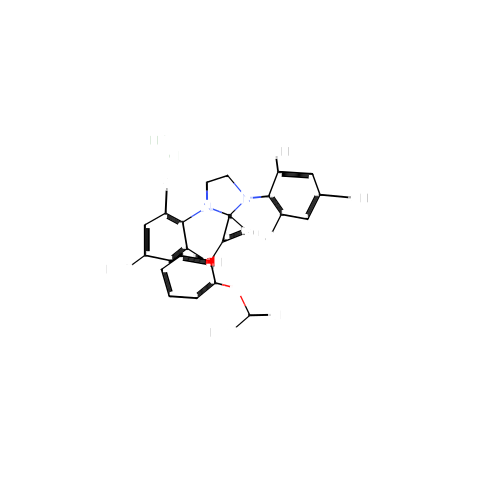 Cc1cc(C)c(N2CCN(c3c(C)cc(C)cc3C)[C]23[Ru]=[C]3c2ccccc2OC(C)C)c(C)c1.Cl.Cl